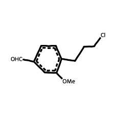 COc1cc(C=O)ccc1CCCCl